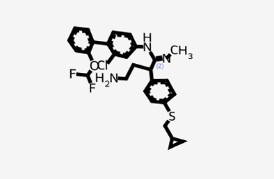 C/N=C(\Nc1ccc(-c2ccccc2OC(F)F)c(Cl)c1)C(CCN)c1ccc(SCC2CC2)cc1